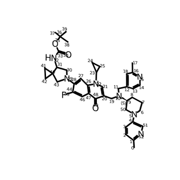 Cc1ccc(N2CCC[C@H](N(Cc3ccnc(C)c3)Cc3cn(C4CC4)c4cc(N5CC(NC(=O)OC(C)(C)C)C6(CC6)C5)c(F)cc4c3=O)C2)cn1